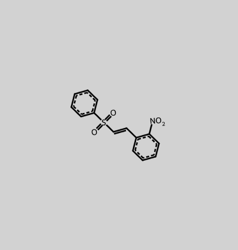 O=[N+]([O-])c1ccccc1C=CS(=O)(=O)c1ccccc1